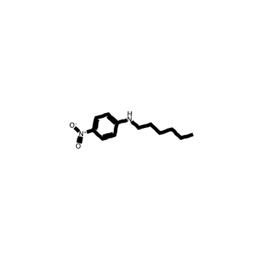 CCCCCCNc1ccc([N+](=O)[O-])cc1